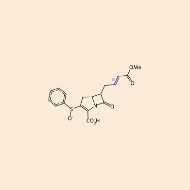 COC(=O)/C=C/CC1C(=O)N2C(C(=O)O)=C([S+]([O-])c3ccccc3)CC12